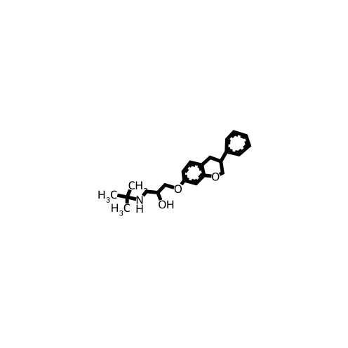 CC(C)(C)NCC(O)COc1ccc2c(c1)OCC(c1ccccc1)C2